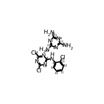 Clc1nc(Cl)nc(Nc2ccccc2Cl)n1.Nc1nc(N)nc(N)n1